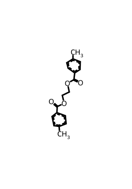 Cc1ccc(C(=O)OCCOC(=O)c2ccc(C)cc2)cc1